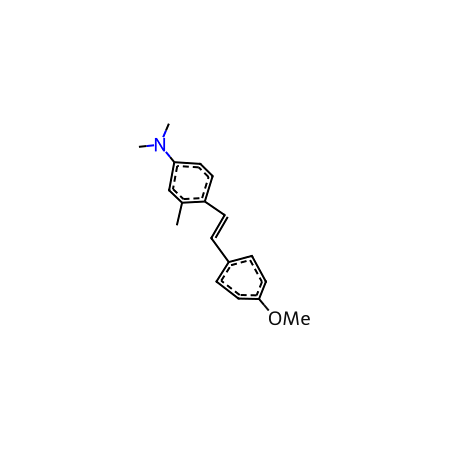 COc1ccc(C=Cc2ccc(N(C)C)cc2C)cc1